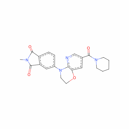 CN1C(=O)c2ccc(N3CCOc4cc(C(=O)N5CCCCC5)cnc43)cc2C1=O